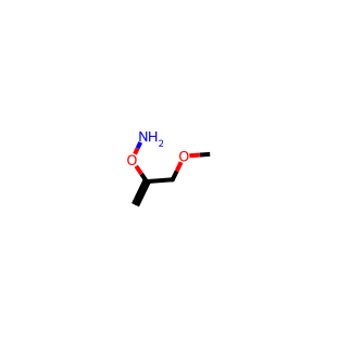 C=C(COC)ON